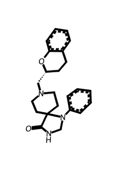 O=C1NCN(c2ccccc2)C12CCN(C[C@H]1CCc3ccccc3O1)CC2